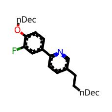 CCCCCCCCCCCCc1ccc(-c2ccc(OCCCCCCCCCC)c(F)c2)nc1